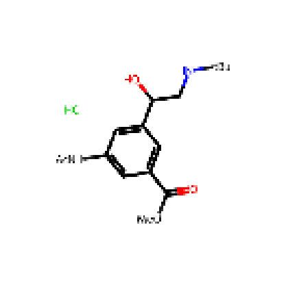 COC(=O)c1cc(NC(C)=O)cc(C(O)CNC(C)(C)C)c1.Cl